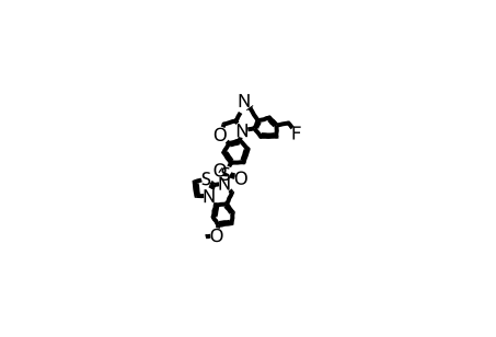 COc1ccc(CN(c2nccs2)S(=O)(=O)c2ccc3c(c2)OCC(C)N3c2ccc(CF)cc2C#N)cc1